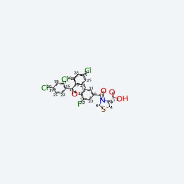 O=C(O)[C@@H]1CSCN1C(=O)c1ccc(OC(c2ccc(Cl)cc2)c2ccc(Cl)cc2Cl)c(F)c1